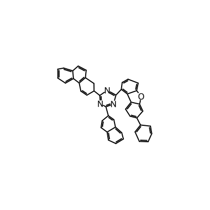 C1=CC(c2nc(-c3ccc4ccccc4c3)nc(-c3cccc4oc5cc(-c6ccccc6)ccc5c34)n2)Cc2ccc3ccccc3c21